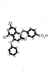 CCc1cc2c(c(Sc3ccccc3)cc(=O)n2Cc2ccc(C(=O)O)cc2)c(CC)n1